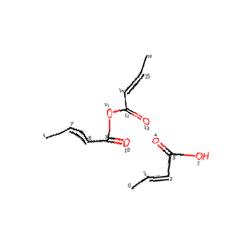 CC=CC(=O)O.CC=CC(=O)OC(=O)C=CC